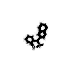 CN(C)C(c1ccc2ccccc2c1)C1CCCCC1=O